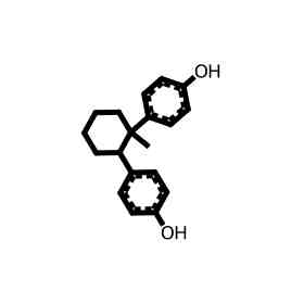 CC1(c2ccc(O)cc2)CCCCC1c1ccc(O)cc1